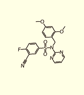 COc1ccc(CN(c2ncccn2)S(=O)(=O)c2ccc(F)c(C#N)c2)c(OC)c1